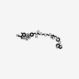 Cc1ccc(NS(=O)(=O)c2ccc(CNC(=O)COCCOCCOc3cc(CN4CCC(Oc5ccnc6ccsc56)CC4)on3)cc2)c2[nH]cc(C#N)c12